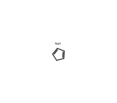 C1=CCC=C1.[NaH]